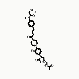 CC(=O)NC[C@H]1CN(c2ccc(N3CCN(C(=O)CCCc4ccc(NC(=O)CN)cc4)CC3)c(F)c2)C(=O)O1